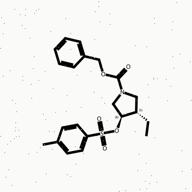 CC[C@H]1CN(C(=O)OCc2ccccc2)C[C@@H]1OS(=O)(=O)c1ccc(C)cc1